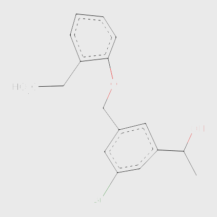 CC(O)c1cc(Br)cc(COc2ccccc2CC(=O)O)c1